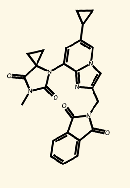 CN1C(=O)N(c2cc(C3CC3)cn3cc(CN4C(=O)c5ccccc5C4=O)nc23)C2(CC2)C1=O